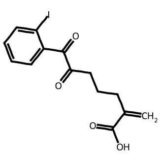 C=C(CCCC(=O)C(=O)c1ccccc1I)C(=O)O